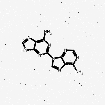 Nc1nc(-n2cnc3c(N)ncnc32)nc2[nH]cnc12